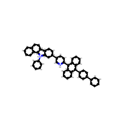 c1ccc(-c2ccc(-c3c4ccccc4c(-c4ccc(-c5ccc6c7ccc8ccccc8c7n(-c7ccccc7)c6c5)cn4)c4ccccc34)cc2)cc1